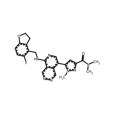 CN(C)C(=O)c1cc(-c2cnc(NCc3c(F)ccc4c3CCO4)c3cnncc23)n(C)n1